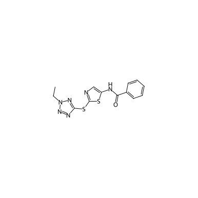 CCn1nnc(Sc2ncc(NC(=O)c3ccccc3)s2)n1